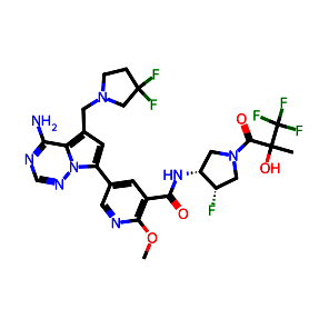 COc1ncc(-c2cc(CN3CCC(F)(F)C3)c3c(N)ncnn23)cc1C(=O)N[C@@H]1CN(C(=O)C(C)(O)C(F)(F)F)C[C@@H]1F